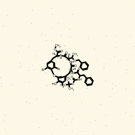 COC(=O)[C@@H]1Cc2cc(Br)c(c(Br)c2)Oc2cc(cc(I)c2O)C[C@H](NC(=O)C(Cc2ccccc2)NC(=O)OC(C)(C)C)C(=O)N[C@@H](C(C)OCc2ccccc2)C(=O)N1